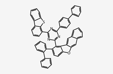 c1ccc(-c2ccc(-c3nc(-c4cccc5c4sc4ccccc45)nc(-c4c(-c5ccccc5-c5ccccc5)ccc5oc6cc7ccccc7cc6c45)n3)cc2)cc1